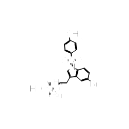 Cc1ccc(S(=O)(=O)n2cc(CCO[Si](C)(C)C(C)(C)C)c3cc(Br)ccc32)cc1